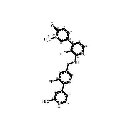 Cc1cc(-c2ncc(CNc3nccc(-c4ccc(=O)n(C)c4)c3F)cc2F)ccn1